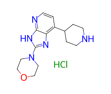 Cl.c1cc(C2CCNCC2)c2nc(N3CCOCC3)[nH]c2n1